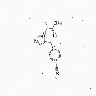 CC(C(=O)O)n1cncc1Cc1ccc(C#N)cc1